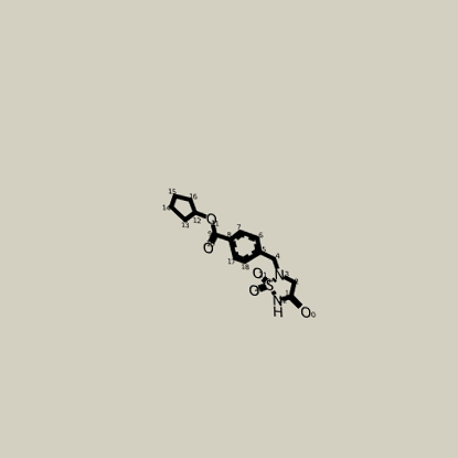 O=C1CN(Cc2ccc(C(=O)OC3CCCC3)cc2)S(=O)(=O)N1